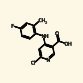 Cc1cc(F)ccc1Nc1cc(Cl)ncc1C(=O)O